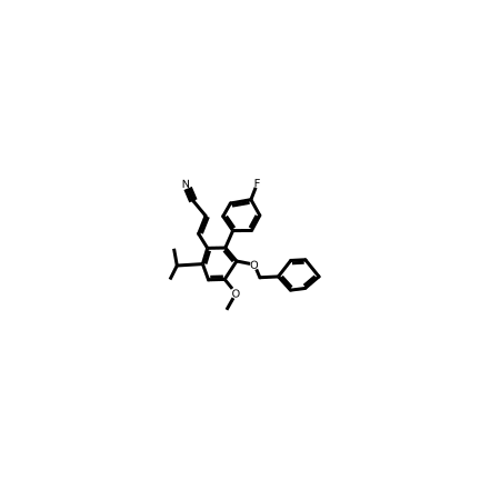 COc1cc(C(C)C)c(C=CC#N)c(-c2ccc(F)cc2)c1OCc1ccccc1